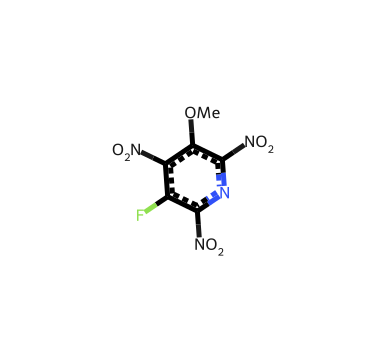 COc1c([N+](=O)[O-])nc([N+](=O)[O-])c(F)c1[N+](=O)[O-]